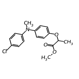 COC(=O)C(C)Oc1ccc(N(C)c2ccc(Cl)cc2)cc1